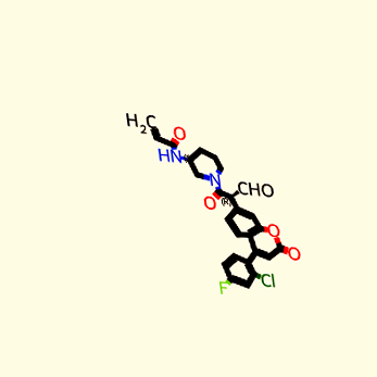 C=CC(=O)N[C@H]1CCCN(C(=O)[C@@H](C=O)c2ccc3c(-c4ccc(F)cc4Cl)cc(=O)oc3c2)C1